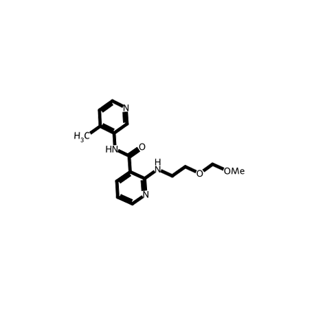 COCOCCNc1ncccc1C(=O)Nc1cnccc1C